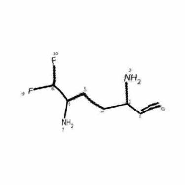 C=CC(N)CCC(N)C(F)F